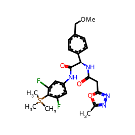 COCc1ccc([C@@H](NC(=O)Cc2nnc(C)o2)C(=O)Nc2cc(F)c(S(C)(C)C)c(F)c2)cc1